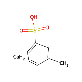 Cc1cccc(S(=O)(=O)O)c1.[CaH2]